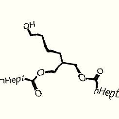 CCCCCCCC(=O)OCC(CCCCO)COC(=O)CCCCCCC